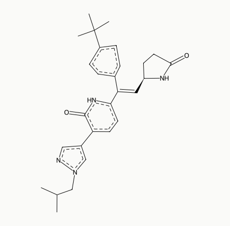 CC(C)Cn1cc(-c2ccc(/C(=C/[C@H]3CCC(=O)N3)c3ccc(C(C)(C)C)cc3)[nH]c2=O)cn1